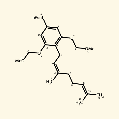 CCCCCc1cc(OCOC)c(CC=C(C)CCC=C(C)C)c(OCOC)c1